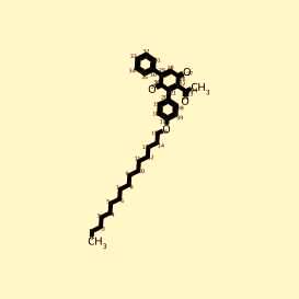 CCCCCCCCCCCCCCCCOc1ccc(C2=C(C(C)=O)C(=O)C=C(c3ccccc3)C2=O)cc1